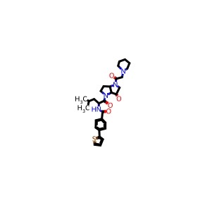 CC(C)CC(NC(=O)c1ccc(-c2cccs2)cc1)C(=O)N1CCC2C1C(=O)CN2C(=O)CN1CCCCC1